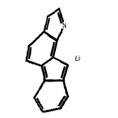 C1=Nc2c3c(ccc2=C1)=c1ccccc1=C3.[Li]